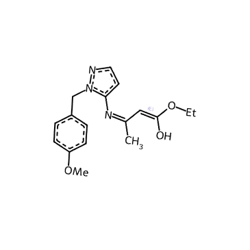 CCO/C(O)=C/C(C)=Nc1ccnn1Cc1ccc(OC)cc1